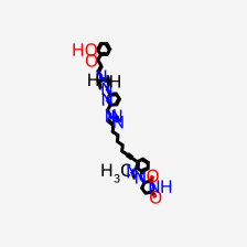 CN1CN(C2CCC(=O)NC2=O)c2cccc(C#CCCCCCc3cn(Cc4cccc(N5C[C@H]6C[C@@H]5CN6/C=C/C(=O)c5ccccc5O)n4)nn3)c21